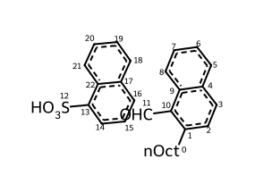 CCCCCCCCc1ccc2ccccc2c1C=O.O=S(=O)(O)c1cccc2ccccc12